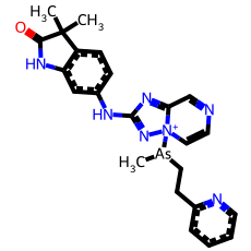 C[As](CCc1ccccn1)[N+]12C=CN=CC1=NC(Nc1ccc3c(c1)NC(=O)C3(C)C)=N2